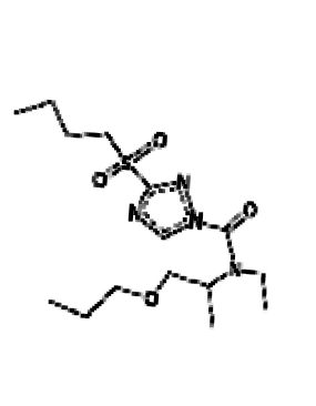 CCCCS(=O)(=O)c1ncn(C(=O)N(CC)C(C)COCCC)n1